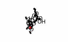 C=CCOC(=O)CC(O)(CC(=O)OC(CC(=O)OCC)(CC(=O)OCC)C(=O)OCC)C(=O)O